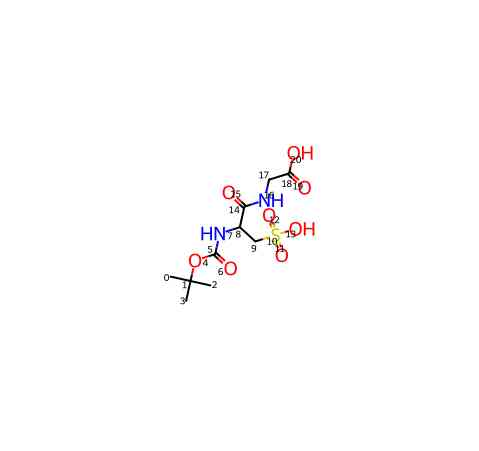 CC(C)(C)OC(=O)NC(CS(=O)(=O)O)C(=O)NCC(=O)O